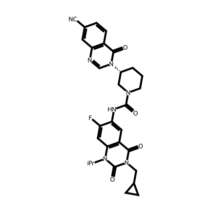 CC(C)n1c(=O)n(CC2CC2)c(=O)c2cc(NC(=O)N3CCC[C@@H](n4cnc5cc(C#N)ccc5c4=O)C3)c(F)cc21